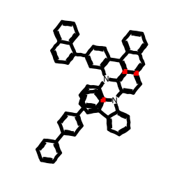 c1ccc(-c2ccc(-c3ccc(N(c4cc(-c5cccc6ccccc56)ccc4-c4cccc5ccccc45)c4ccccc4-n4c5ccccc5c5ccccc54)cc3)cc2)cc1